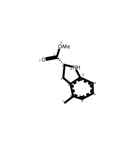 COC(=O)[C@H]1Cc2c(C)cccc2N1